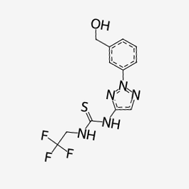 OCc1cccc(-n2ncc(NC(=S)NCC(F)(F)F)n2)c1